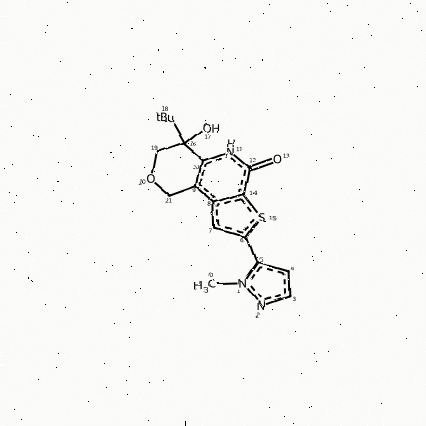 Cn1nccc1-c1cc2c3c([nH]c(=O)c2s1)C(O)(C(C)(C)C)COC3